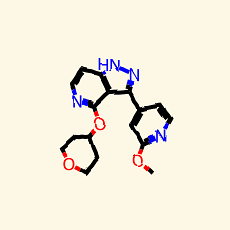 COc1cc(-c2n[nH]c3ccnc(OC4CCOCC4)c23)ccn1